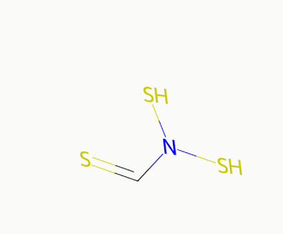 S=CN(S)S